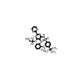 [2H]C([2H])(CO)Oc1nc(-c2ncccn2)nc(NS(=O)(=O)c2ccc(C(C)(C)C)cc2)c1Oc1ccccc1OC